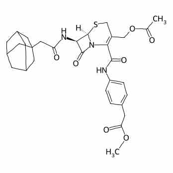 COC(=O)Cc1ccc(NC(=O)C2=C(COC(C)=O)CS[C@@H]3[C@H](NC(=O)CC45CC6CC(CC(C6)C4)C5)C(=O)N23)cc1